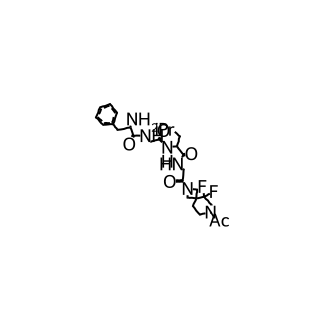 CC(=O)N1CCC2(CN(C(=O)CNC(=O)C(CC(C)C)NC(=O)CNC(=O)C(N)Cc3ccccc3)C2)C(F)(F)C1